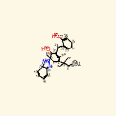 CC(C)(C)CC(C)(C)C1=CC(C)(n2nc3ccccc3n2)C(O)C(Cc2ccccc2O)=C1